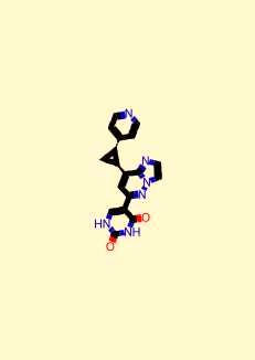 O=c1[nH]cc(-c2cc([C@H]3C[C@@H]3c3ccncc3)c3nccn3n2)c(=O)[nH]1